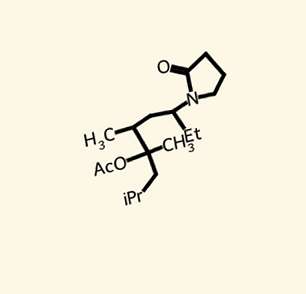 CCC(CC(C)C(C)(CC(C)C)OC(C)=O)N1CCCC1=O